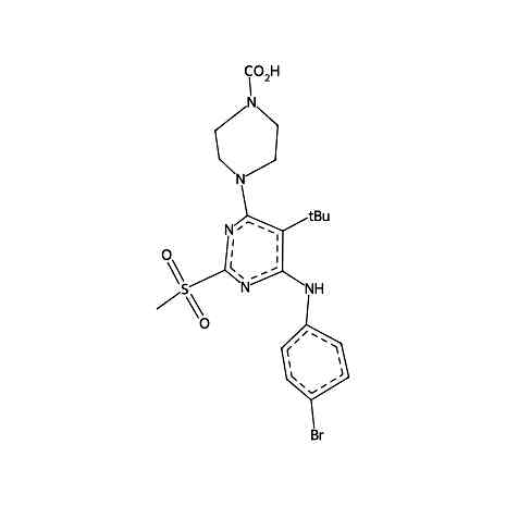 CC(C)(C)c1c(Nc2ccc(Br)cc2)nc(S(C)(=O)=O)nc1N1CCN(C(=O)O)CC1